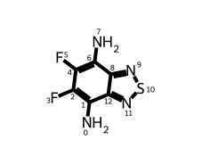 Nc1c(F)c(F)c(N)c2nsnc12